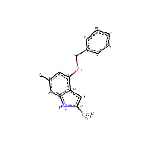 Cc1cc(OCc2ccccc2)c2cc(C(=O)O)[nH]c2c1